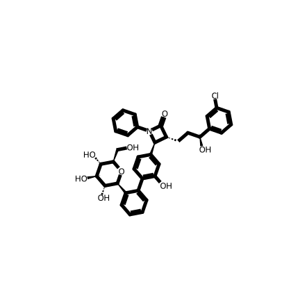 O=C1[C@H](CC[C@H](O)c2cccc(Cl)c2)[C@@H](c2ccc(-c3ccccc3[C@@H]3O[C@H](CO)[C@@H](O)[C@H](O)[C@H]3O)c(O)c2)N1c1ccccc1